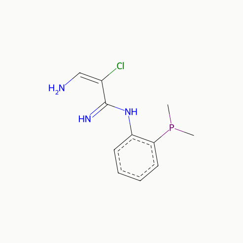 CP(C)c1ccccc1NC(=N)/C(Cl)=C\N